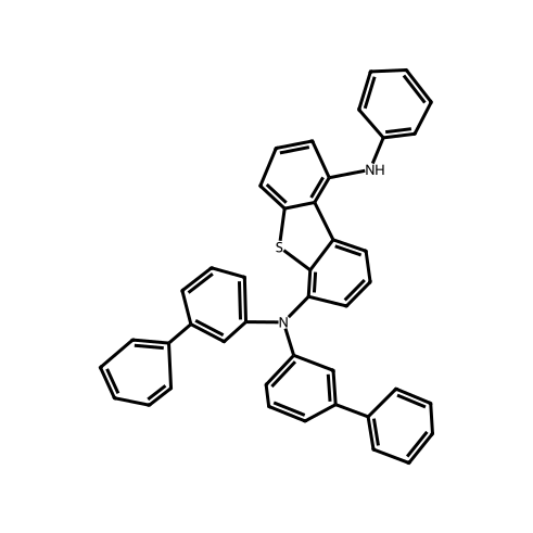 c1ccc(Nc2cccc3sc4c(N(c5cccc(-c6ccccc6)c5)c5cccc(-c6ccccc6)c5)cccc4c23)cc1